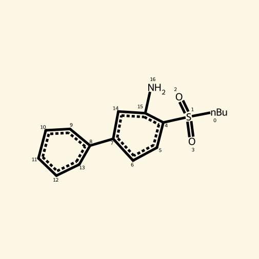 CCCCS(=O)(=O)c1ccc(-c2ccccc2)cc1N